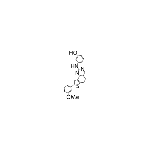 COc1cccc(-c2cc3c(s2)CCc2cnc(Nc4cccc(O)c4)nc2-3)c1